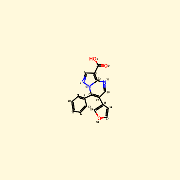 O=C(O)c1cnn2c(-c3ccccc3)c(-c3ccoc3)cnc12